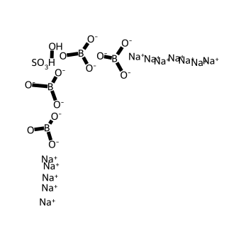 O=S(=O)(O)O.[Na+].[Na+].[Na+].[Na+].[Na+].[Na+].[Na+].[Na+].[Na+].[Na+].[Na+].[Na+].[O-]B([O-])[O-].[O-]B([O-])[O-].[O-]B([O-])[O-].[O-]B([O-])[O-]